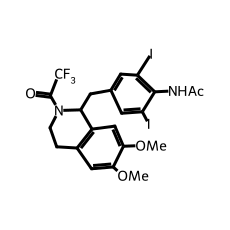 COc1cc2c(cc1OC)C(Cc1cc(I)c(NC(C)=O)c(I)c1)N(C(=O)C(F)(F)F)CC2